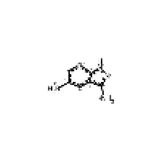 Bc1cnc2[nH]nc(N)c2c1